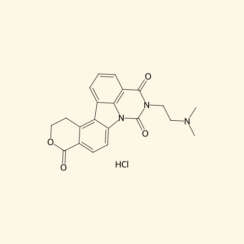 CN(C)CCn1c(=O)c2cccc3c4c5c(ccc4n(c1=O)c23)C(=O)OCC5.Cl